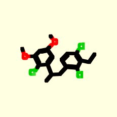 CCc1c(Cl)ccc(CC(C)c2cc(OC)cc(OC)c2Cl)c1Cl